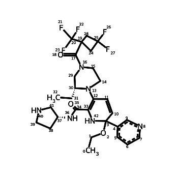 CCOC1(c2cccnc2)C=CC(N2CCN(C(=O)C3(C(F)(F)F)CC(F)(F)C3)C[C@H]2CC)=C(C(=O)N[C@@H]2CCNC2)N1